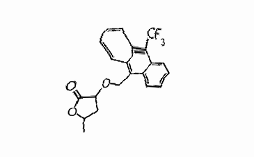 CC1CC(OCc2c3ccccc3c(C(F)(F)F)c3ccccc23)C(=O)O1